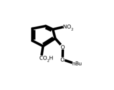 CCCCOOc1c(C(=O)O)cccc1[N+](=O)[O-]